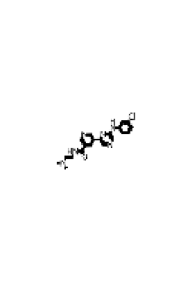 CN(C)CCNC(=O)c1cncc(-c2cncc(Nc3cccc(Cl)c3)n2)c1